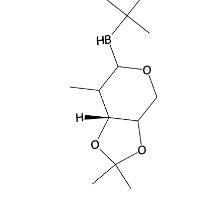 CC1C(BC(C)(C)C)OCC2OC(C)(C)O[C@@H]21